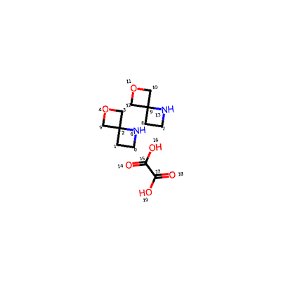 C1CC2(COC2)N1.C1CC2(COC2)N1.O=C(O)C(=O)O